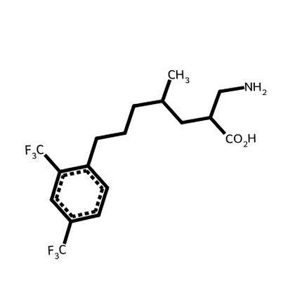 CC(CCCc1ccc(C(F)(F)F)cc1C(F)(F)F)CC(CN)C(=O)O